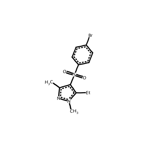 CCc1c(S(=O)(=O)c2ccc(Br)cc2)c(C)nn1C